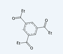 CCC(=O)c1[c]c(C(=O)CC)cc(C(=O)CC)c1